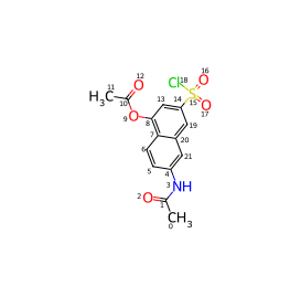 CC(=O)Nc1ccc2c(OC(C)=O)cc(S(=O)(=O)Cl)cc2c1